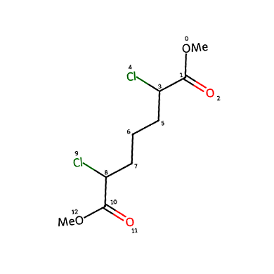 COC(=O)C(Cl)CCCC(Cl)C(=O)OC